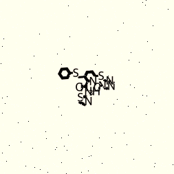 Cn1cnnc1Sc1ccc(CSc2ccccc2)c(C(=O)Nc2nccs2)n1